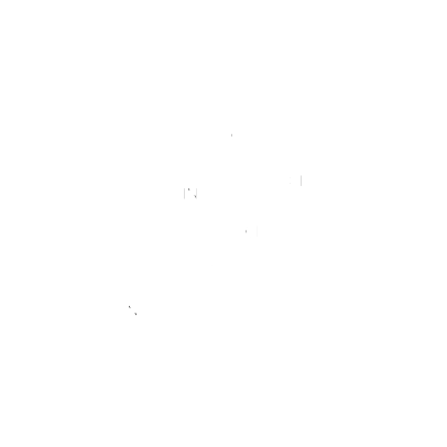 CC(C)(C)Nc1cncs1